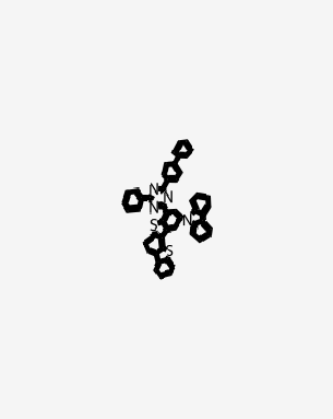 c1ccc(-c2ccc(-c3nc(-c4ccccc4)nc(-c4cc(-n5c6ccccc6c6ccccc65)cc5c4sc4ccc6c7ccccc7sc6c45)n3)cc2)cc1